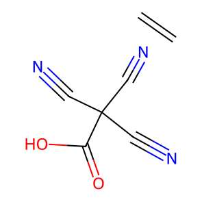 C=C.N#CC(C#N)(C#N)C(=O)O